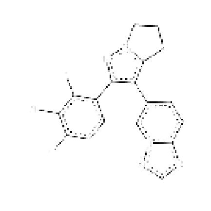 Fc1ccc(-c2nn3c(c2-c2ccc4ncnn4c2)CCC3)c(F)c1Cl